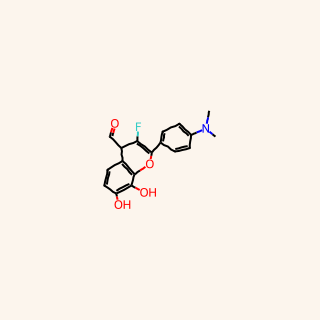 CN(C)c1ccc(C2=C(F)C(C=O)c3ccc(O)c(O)c3O2)cc1